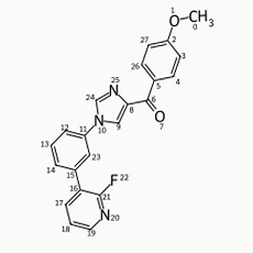 COc1ccc(C(=O)c2cn(-c3cccc(-c4cccnc4F)c3)cn2)cc1